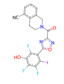 N#Cc1cccc2c1CCN(C(=O)c1noc(-c3c(F)c(O)c(F)c(F)c3I)n1)C2